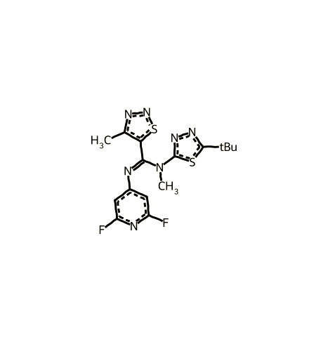 Cc1nnsc1C(=Nc1cc(F)nc(F)c1)N(C)c1nnc(C(C)(C)C)s1